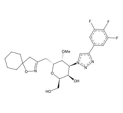 CO[C@@H]1[C@@H](n2cc(-c3cc(F)c(F)c(F)c3)nn2)[C@@H](O)[C@@H](CO)O[C@@H]1CC1=NOC2(CCCCC2)C1